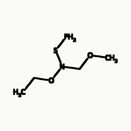 CCON(COC)SP